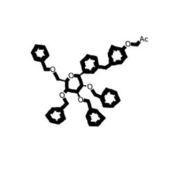 CC(=O)COc1ccc(Cc2cccc([C@@H]3O[C@H](COCc4ccccc4)C(OCc4ccccc4)[C@H](OCc4ccccc4)[C@H]3OCc3ccccc3)c2)cc1